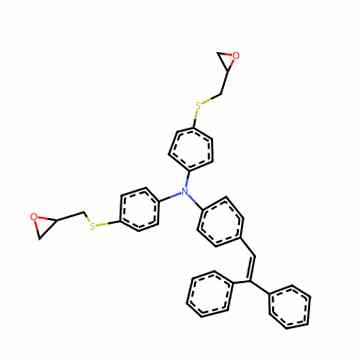 C(=C(c1ccccc1)c1ccccc1)c1ccc(N(c2ccc(SCC3CO3)cc2)c2ccc(SCC3CO3)cc2)cc1